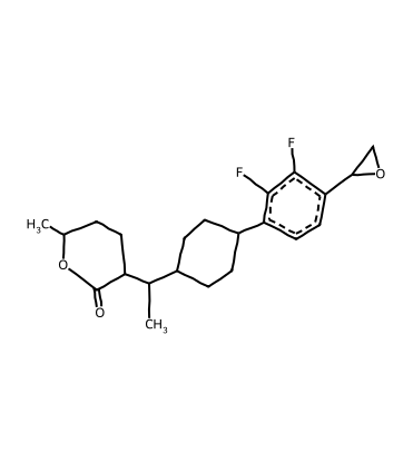 CC1CCC(C(C)C2CCC(c3ccc(C4CO4)c(F)c3F)CC2)C(=O)O1